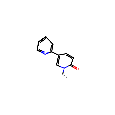 Cn1cc(-c2ccccn2)ccc1=O